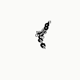 NC(=O)C1CN(S(=O)(=O)c2ccc3cc(Cl)ccc3c2)CC(=O)N1CC1CCN(c2ccncc2)CC1